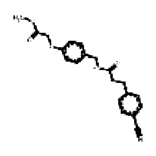 COC(=O)COc1ccc(CNC(=O)CCc2ccc(C#N)cc2)cc1